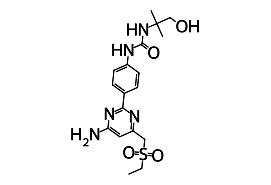 CCS(=O)(=O)Cc1cc(N)nc(-c2ccc(NC(=O)NC(C)(C)CO)cc2)n1